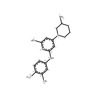 CCCc1cc(N2CCCC(N)C2)cc(Nc2ccc(C)c(C#N)c2)n1